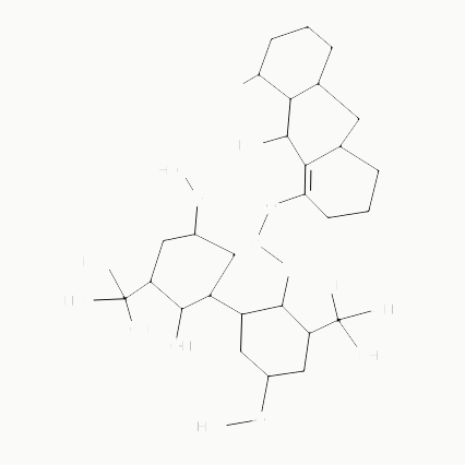 COC1CC(C2CC(OC)CC(C(C)(C)C)C2OPOC2=C3C(CCC2)CC2CCCC(O)C2C3O)C(O)C(C(C)(C)C)C1